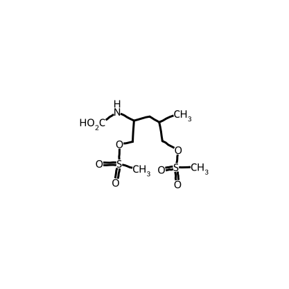 CC(COS(C)(=O)=O)CC(COS(C)(=O)=O)NC(=O)O